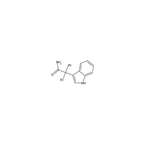 CCC(C(N)=O)(c1c[nH]c2ccccc12)C(C)C